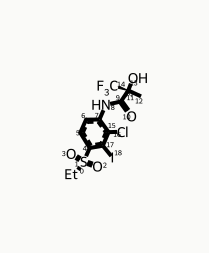 CCS(=O)(=O)c1ccc(NC(=O)[C@@](C)(O)C(F)(F)F)c(Cl)c1I